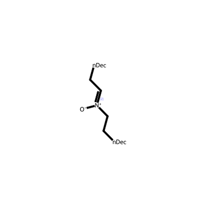 CCCCCCCCCCC/C=[N+](\[O-])CCCCCCCCCCCC